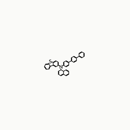 C1=CC2=CC=CC(N(c3ccc(-c4ccc(-c5ccccc5)cc4)cc3)c3ccc4sc5ccccc5c4c3)C2C=C1